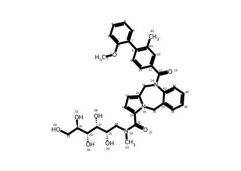 COc1ccccc1-c1ccc(C(=O)N2Cc3ccc(C(=O)N(C)C[C@H](O)[C@@H](O)[C@H](O)[C@H](O)CO)n3Cc3ccccc32)cc1C